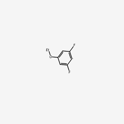 CCOc1cc(F)[c]c(F)c1